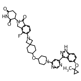 CC1(Oc2ccc3[nH]nc(-c4cc(N5CCC(OC6CCC7(CC6)CN(c6ccc8c(c6F)CN(C6CCC(=O)NC6=O)C8=O)C7)CC5)ncn4)c3c2)CC1